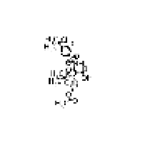 CC(=O)OCCOC1C(C(=O)O)=C(NS(=O)(=O)c2ccc(C(C)(C)C)cc2)ON1C(C)(C)C